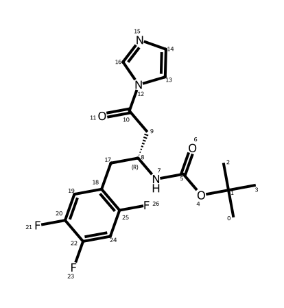 CC(C)(C)OC(=O)N[C@@H](CC(=O)n1ccnc1)Cc1cc(F)c(F)cc1F